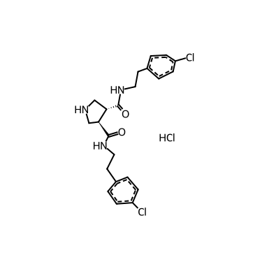 Cl.O=C(NCCc1ccc(Cl)cc1)[C@H]1CNC[C@@H]1C(=O)NCCc1ccc(Cl)cc1